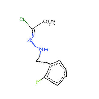 CCOC(=O)/C(Cl)=N\NCc1ccccc1F